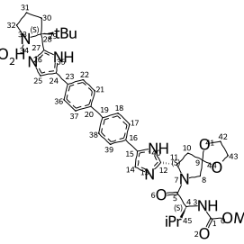 COC(=O)N[C@H](C(=O)N1CC2(C[C@H]1c1ncc(-c3ccc(-c4ccc(-c5cnc([C@@]6(C(C)(C)C)CCCN6C(=O)O)[nH]5)cc4)cc3)[nH]1)OCCO2)C(C)C